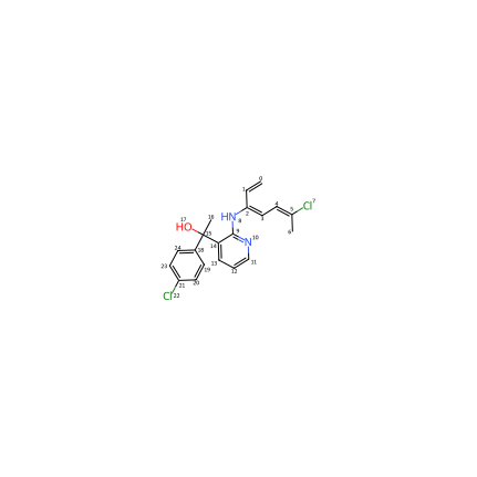 C=C/C(=C\C=C(/C)Cl)Nc1ncccc1C(C)(O)c1ccc(Cl)cc1